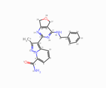 Cc1nn2c(C(N)=O)cccc2c1-c1nc2c(c(NCc3ccccc3)n1)COC2